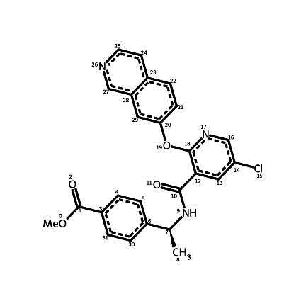 COC(=O)c1ccc([C@H](C)NC(=O)c2cc(Cl)cnc2Oc2ccc3ccncc3c2)cc1